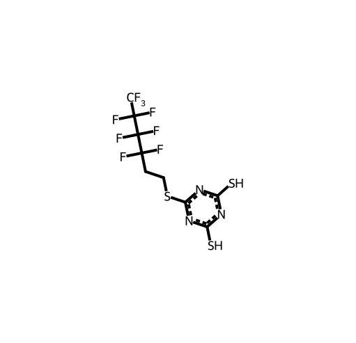 FC(F)(F)C(F)(F)C(F)(F)C(F)(F)CCSc1nc(S)nc(S)n1